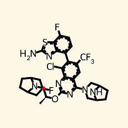 C[C@@H](CN1C2CCC1CC(F)C2)Oc1nc(N2CC3CCC(C2)N3)c2cc(C(F)(F)F)c(-c3ccc(F)c4sc(N)nc34)c(Cl)c2n1